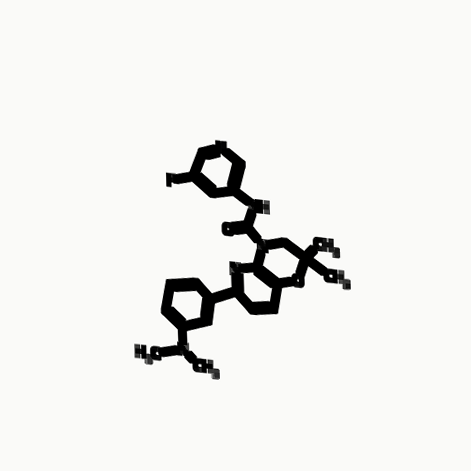 CN(C)c1cccc(-c2ccc3c(n2)N(C(=O)Nc2cncc(F)c2)CC(C)(C)O3)c1